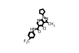 Cc1nn(C2CCCC2)c2ncc(C(=O)Nc3ccc(C(F)(F)F)cc3)c(Cl)c12